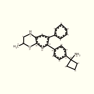 CC1CNc2cc(-c3ccccc3)c(-c3ccc(C4(N)CCC4)cc3)nc2O1